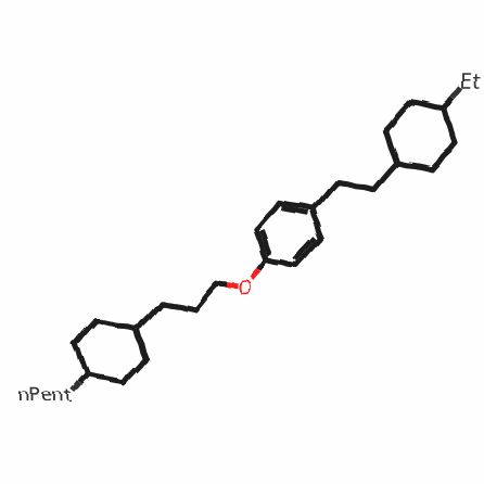 CCCCCC1CCC(CCCOc2ccc(CCC3CCC(CC)CC3)cc2)CC1